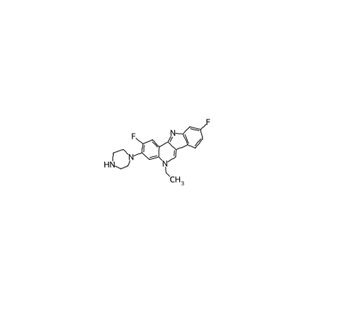 CCn1cc2c3ccc(F)cc3nc-2c2cc(F)c(N3CCNCC3)cc21